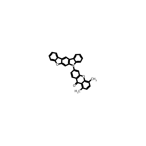 Cc1ccc(C)c2c(=O)c3ccc(-n4c5ccccc5c5cc6c(cc54)oc4ccccc46)cc3oc12